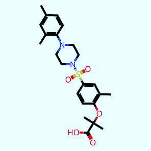 Cc1ccc(N2CCN(S(=O)(=O)c3ccc(OC(C)(C)C(=O)O)c(C)c3)CC2)c(C)c1